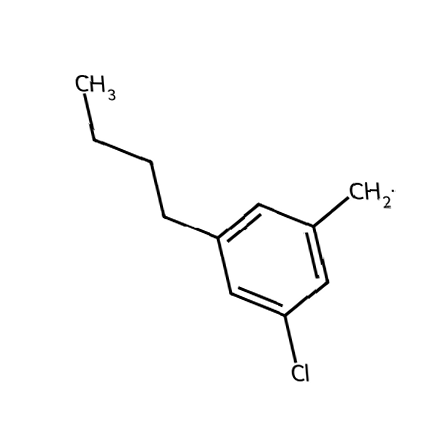 [CH2]c1cc(Cl)cc(CCCC)c1